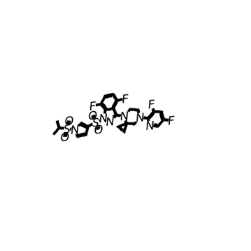 CC(C)S(=O)(=O)n1ccc(S(=O)(=O)n2nc(N3CCN(c4ncc(F)cc4F)CC34CC4)c3c(F)ccc(F)c32)c1